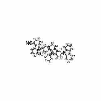 N#Cc1c(-c2ccccc2-n2c3ccccc3c3cc(-n4c5ccccc5c5ccccc54)ccc32)cccc1-n1c2ccccc2c2c(C#N)cccc21